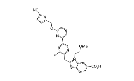 COCCn1c(Cc2ccc(-c3cccc(OCc4csc(C#N)c4)n3)cc2F)nc2ccc(C(=O)O)cc21